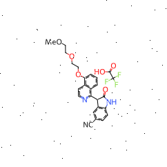 COCCOCCOc1cccc2c(C3C(=O)Nc4ccc(C#N)cc43)nccc12.O=C(O)C(F)(F)F